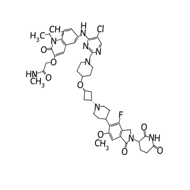 CNC(=O)COc1cc2cc(Nc3nc(N4CCC(O[C@H]5C[C@H](N6CCC(c7c(OC)cc8c(c7F)CN(C7CCC(=O)NC7=O)C8=O)CC6)C5)CC4)ncc3Cl)ccc2n(C(C)C)c1=O